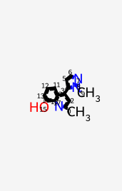 Cc1cc(-c2ccnn2C)c2cccc(O)c2n1